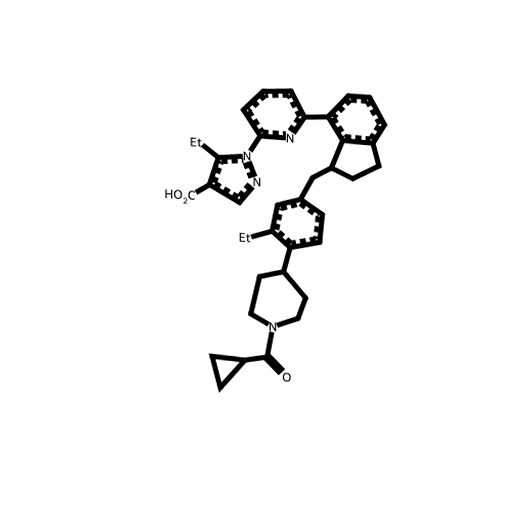 CCc1cc(CC2CCc3cccc(-c4cccc(-n5ncc(C(=O)O)c5CC)n4)c32)ccc1C1CCN(C(=O)C2CC2)CC1